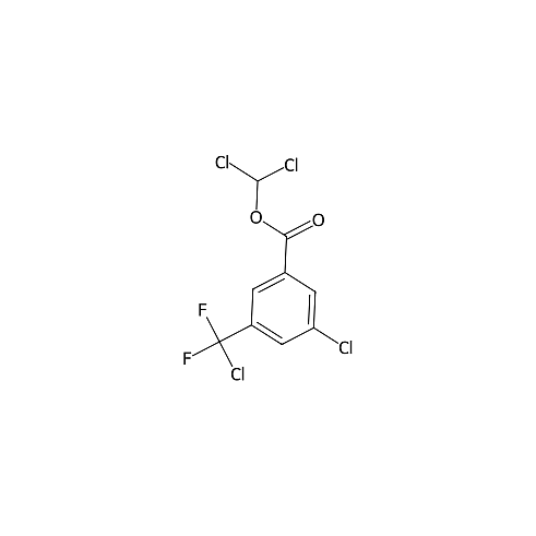 O=C(OC(Cl)Cl)c1cc(Cl)cc(C(F)(F)Cl)c1